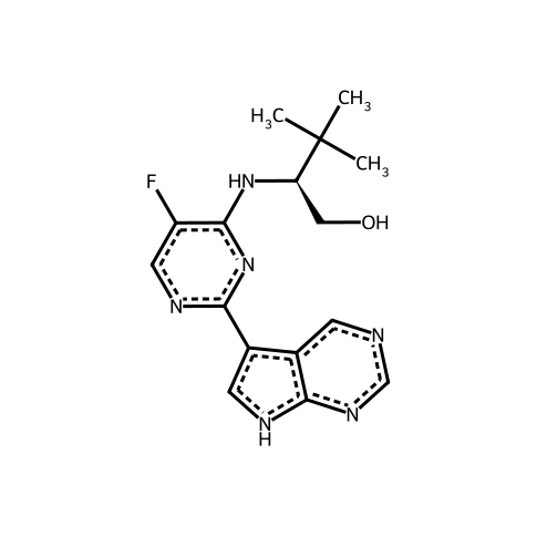 CC(C)(C)[C@@H](CO)Nc1nc(-c2c[nH]c3ncncc23)ncc1F